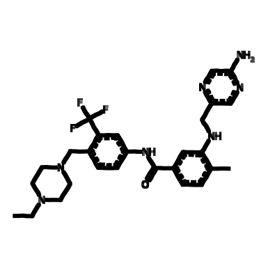 CCN1CCN(Cc2ccc(NC(=O)c3ccc(C)c(NCc4cnc(N)cn4)c3)cc2C(F)(F)F)CC1